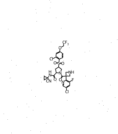 N#CC1(NC(=O)C2CC(S(=O)(=O)c3ccc(OCC(F)(F)F)cc3Cl)CN2C(=O)C2(c3ncc(Cl)cc3F)CNC2)CC1